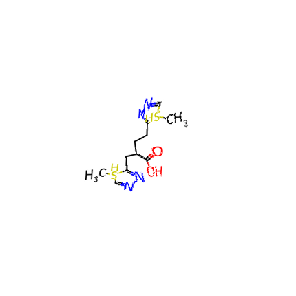 C[SH]1C=NN=C1CCC(CC1=NN=C[SH]1C)C(=O)O